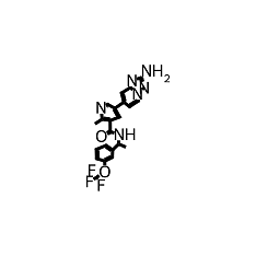 Cc1ncc(-c2ccn3nc(N)nc3c2)cc1C(=O)NC(C)c1cccc(OC(F)(F)F)c1